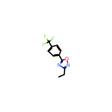 CCc1noc(-c2ccc(C(F)(F)F)cc2)n1